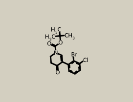 CC(C)(C)OC(=O)N1C=C(c2cccc(Cl)c2Br)C(=O)CC1